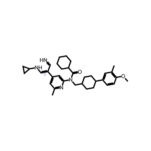 COc1ccc(C2CCC(CN(C(=O)C3CCCCC3)c3cc(/C(C=N)=C/NC4CC4)cc(C)n3)CC2)cc1C